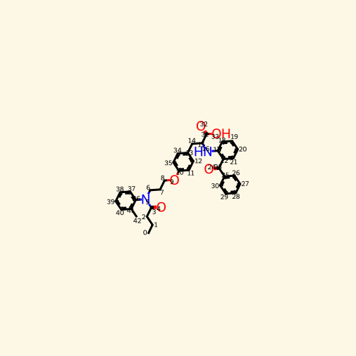 CCCC(=O)N(CCCOc1ccc(CC(Nc2ccccc2C(=O)c2ccccc2)C(=O)O)cc1)c1ccccc1C